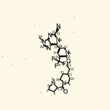 CN1CCC[C@@H]1C(=O)N1CCC(CCOc2ncc(-c3nc(C#N)nc4c3ncn4C)cc2C(F)(F)F)CC1